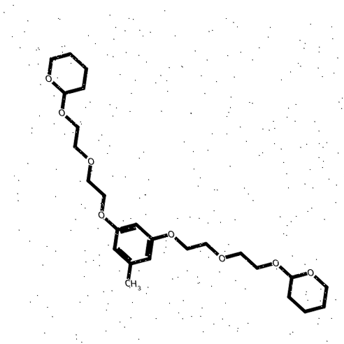 Cc1cc(OCCOCCOC2CCCCO2)cc(OCCOCCOC2CCCCO2)c1